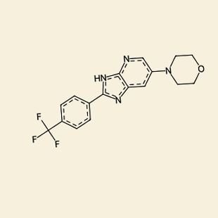 FC(F)(F)c1ccc(-c2nc3cc(N4CCOCC4)cnc3[nH]2)cc1